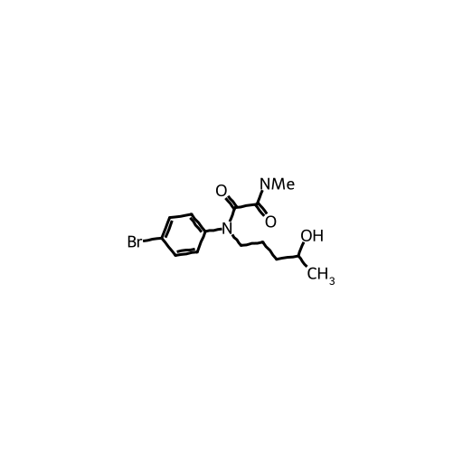 CNC(=O)C(=O)N(CCCC(C)O)c1ccc(Br)cc1